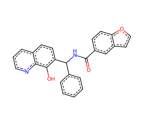 O=C(NC(c1ccccc1)c1ccc2cccnc2c1O)c1ccc2occc2c1